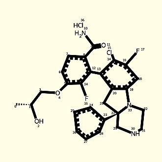 C[C@@H](O)COc1ccc(C(N)=O)c(-c2c(Cl)c(F)cc3c2C[C@@]2(c4ccccc4)CNCCN32)c1F.Cl